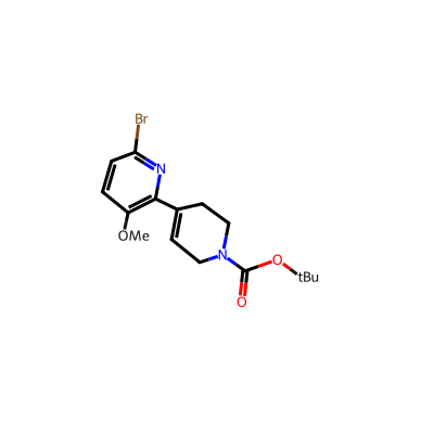 COc1ccc(Br)nc1C1=CCN(C(=O)OC(C)(C)C)CC1